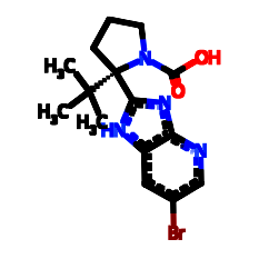 CC(C)(C)[C@]1(c2nc3ncc(Br)cc3[nH]2)CCCN1C(=O)O